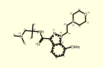 COc1cccc2c(C(=O)NC(C)(C)CN(C)C)nn(CCN3CCOCC3)c12